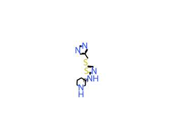 c1ncc(CSc2cnc(N[C@@H]3CCCNC3)s2)cn1